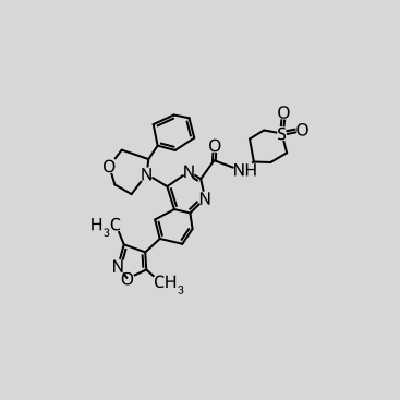 Cc1noc(C)c1-c1ccc2nc(C(=O)NC3CCS(=O)(=O)CC3)nc(N3CCOCC3c3ccccc3)c2c1